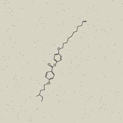 C=CCCCCCCCCCOc1ccc(OC(=O)c2ccc(OCCCC(C)CC)cc2)cc1